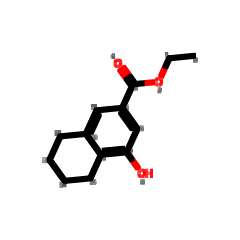 CCOC(=O)c1cc(O)c2c(c1)CCCC2